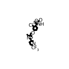 Cc1nc(-c2ccc(C(F)(F)F)nc2)sc1COc1ccc(-c2noc(=O)[nH]2)c(Cl)c1